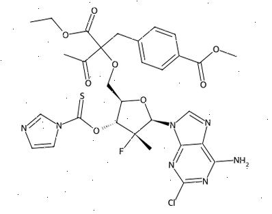 CCOC(=O)C(Cc1ccc(C(=O)OC)cc1)(OC[C@H]1O[C@@H](n2cnc3c(N)nc(Cl)nc32)[C@](C)(F)[C@@H]1OC(=S)n1ccnc1)C(C)=O